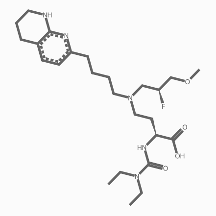 CCN(CC)C(=O)N[C@@H](CCN(CCCCc1ccc2c(n1)NCCC2)C[C@H](F)COC)C(=O)O